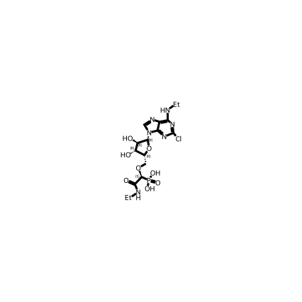 CCNC(=O)[C@@H](OC[C@H]1O[C@@H](n2cnc3c(NCC)nc(Cl)nc32)[C@H](O)[C@H]1O)P(=O)(O)O